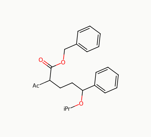 CC(=O)C(CCC(OC(C)C)c1ccccc1)C(=O)OCc1ccccc1